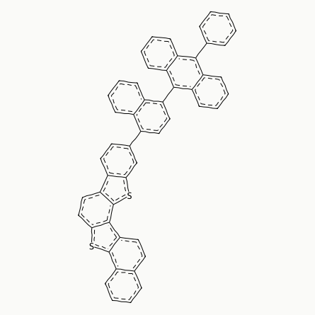 c1ccc(-c2c3ccccc3c(-c3ccc(-c4ccc5c(c4)sc4c5ccc5sc6c7ccccc7ccc6c54)c4ccccc34)c3ccccc23)cc1